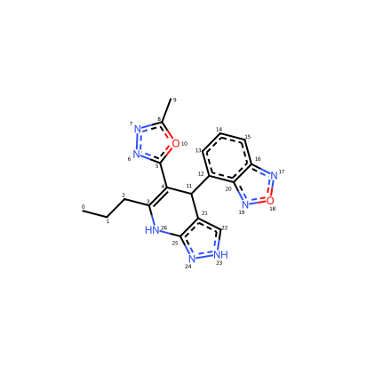 CCCC1=C(c2nnc(C)o2)C(c2cccc3nonc23)c2c[nH]nc2N1